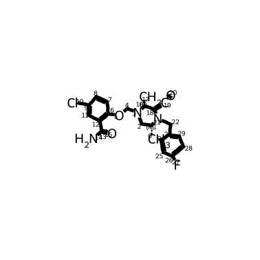 C[C@@H]1CN(COc2ccc(Cl)cc2C(N)=O)[C@@H](C)C(=C=O)N1Cc1ccc(F)cc1